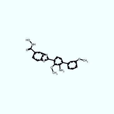 COc1cccc(-c2ccc(-c3nc4cc(C(=O)NO)ccc4o3)c(OC)c2N)c1